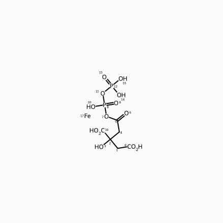 O=C(O)CC(O)(CC(=O)OP(=O)(O)OP(=O)(O)O)C(=O)O.[Fe]